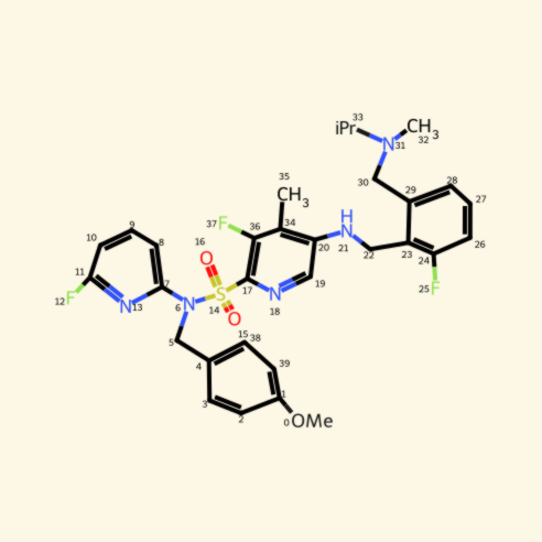 COc1ccc(CN(c2cccc(F)n2)S(=O)(=O)c2ncc(NCc3c(F)cccc3CN(C)C(C)C)c(C)c2F)cc1